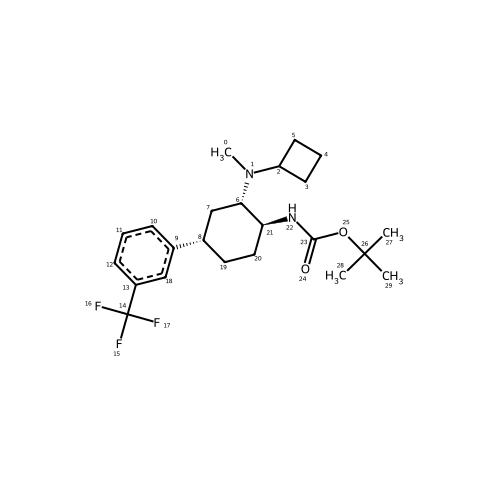 CN(C1CCC1)[C@H]1C[C@@H](c2cccc(C(F)(F)F)c2)CC[C@@H]1NC(=O)OC(C)(C)C